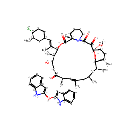 CC[C@@H]1/C=C(\C)C[C@H](C)C[C@H](OC)[C@H]2O[C@@](O)(C(=O)C(=O)N3CCCC[C@H]3C(=O)O[C@H](/C(C)=C/[C@@H]3CC[C@@H](Cl)[C@H](OC)C3)[C@H](C)[C@@H](O)CC1=O)[C@H](C)C[C@@H]2OC.c1ccc2[nH]c(Oc3cc4ccccc4[nH]3)cc2c1